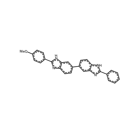 COc1ccc(-c2nc3ccc(-c4ccc5[nH]c(-c6ccccc6)nc5c4)cc3[nH]2)cc1